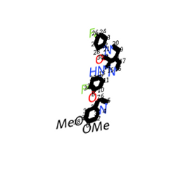 COc1cc2nccc(Oc3ccc(Nc4nccc5ccn(-c6ccc(F)cc6)c(=O)c45)cc3F)c2cc1OC